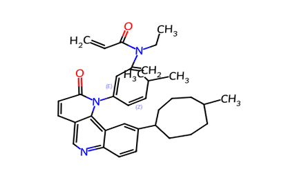 C=CC(=O)N(CC)C(=C)/C=C(\C=C/C(C)C)n1c(=O)ccc2cnc3ccc(C4CCCC(C)CCC4)cc3c21